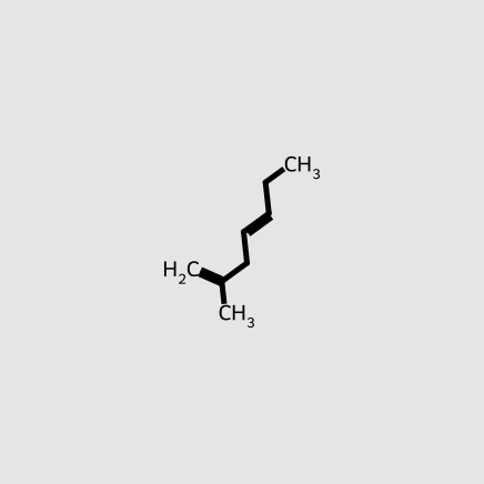 C=C(C)C/C=C/CC